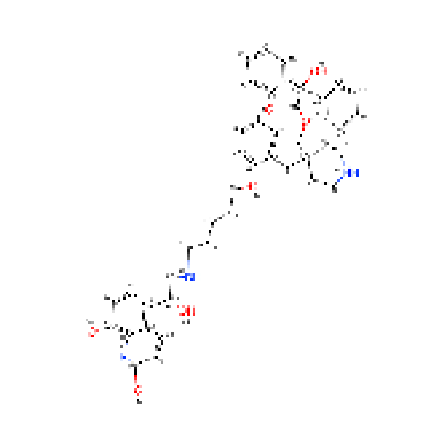 O=C(OCC1(Cc2ccccc2OCCCCCNC[C@H](O)c2ccc(O)c3[nH]c(=O)ccc23)CCNCC1)C(O)(c1ccccc1)c1ccccc1